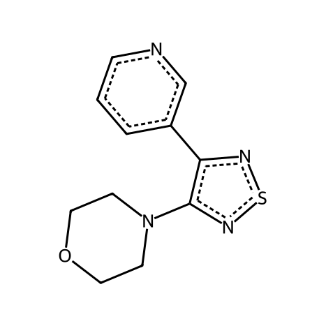 c1cncc(-c2nsnc2N2CCOCC2)c1